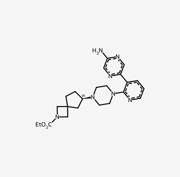 CCOC(=O)N1CC2(CC[C@@H](N3CCN(c4ncccc4-c4cnc(N)cn4)CC3)C2)C1